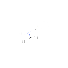 COSCCN(C)C(C)C